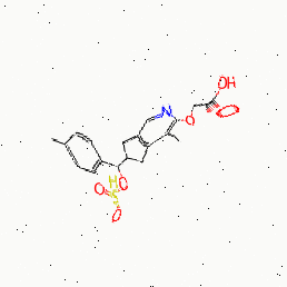 Cc1ccc(C(O[SH](=O)=O)C2Cc3cnc(OCC(=O)O)c(C)c3C2)cc1